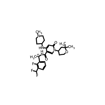 C[C@@H](NC(=O)c1cn(C2CCOC(C)(C)C2)c(=O)cc1NC1CCN(C)CC1)c1cccc(C(F)F)c1F